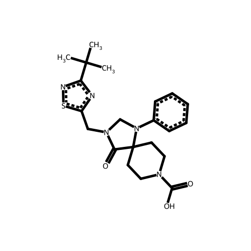 CC(C)(C)c1nsc(CN2CN(c3ccccc3)C3(CCN(C(=O)O)CC3)C2=O)n1